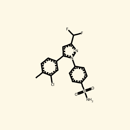 Cc1ccc(-c2cc(C(F)F)nn2-c2ccc(S(N)(=O)=O)cc2)cc1Cl